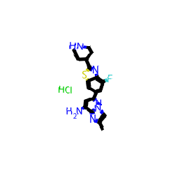 Cc1cn2nc(-c3cc(F)c4nc(C5CCNCC5)sc4c3)cc(N)c2n1.Cl